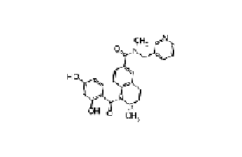 C[C@H]1CCc2cc(C(=O)N(C)Cc3cccnc3)ccc2N1C(=O)c1ccc(O)cc1O